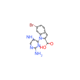 N.Nc1nccc(-n2c(C(=O)O)cc3ccc(Br)cc32)n1